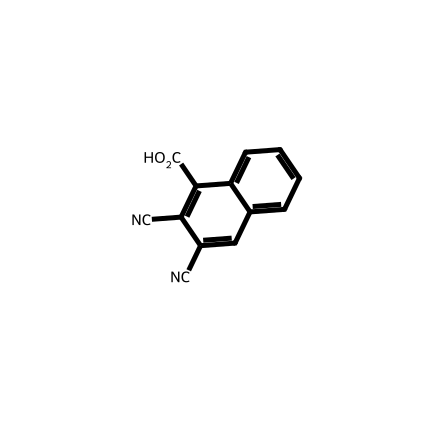 N#Cc1cc2ccccc2c(C(=O)O)c1C#N